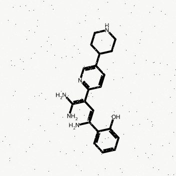 NC(N)=C(/C=C(\N)c1ccccc1O)c1ccc(C2CCNCC2)cn1